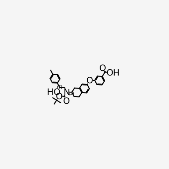 Cc1ccc([C@H](O)CN(C(=O)OC(C)(C)C)[C@H]2CCc3ccc(Oc4cccc(C(=O)O)c4)cc3C2)cc1